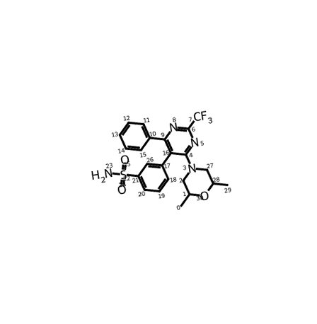 CC1CN(c2nc(C(F)(F)F)nc(-c3ccccc3)c2-c2cccc(S(N)(=O)=O)c2)CC(C)O1